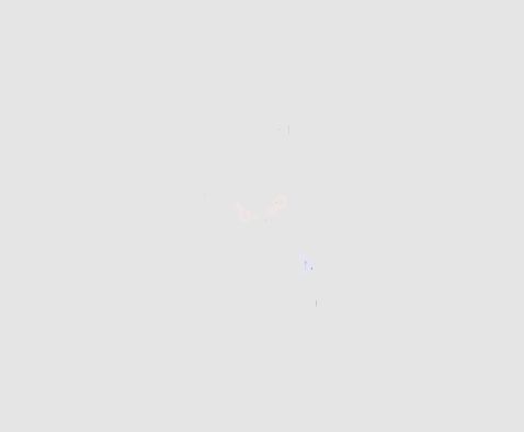 CCCc1ccc(C(=O)OC(CC)c2ccc(C)cc2)cn1